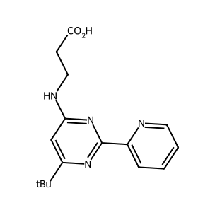 CC(C)(C)c1cc(NCCC(=O)O)nc(-c2ccccn2)n1